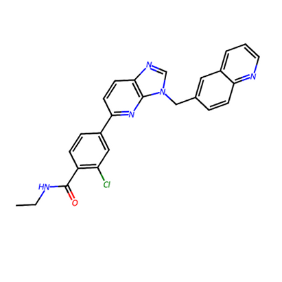 CCNC(=O)c1ccc(-c2ccc3ncn(Cc4ccc5ncccc5c4)c3n2)cc1Cl